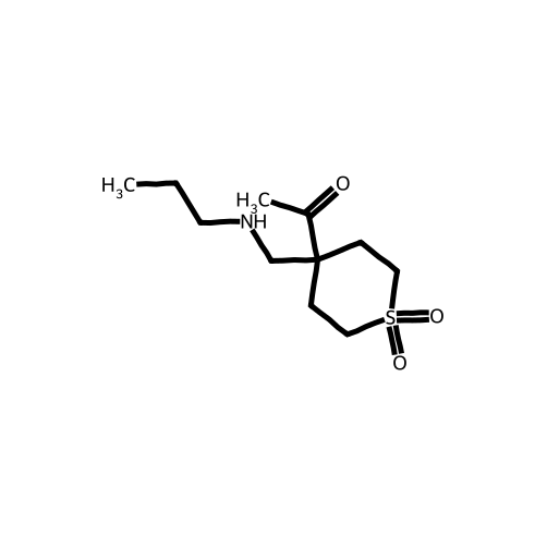 CCCNCC1(C(C)=O)CCS(=O)(=O)CC1